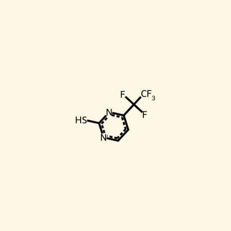 FC(F)(F)C(F)(F)c1ccnc(S)n1